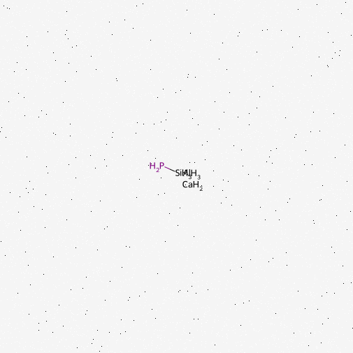 [AlH3].[CaH2].[SiH3]P